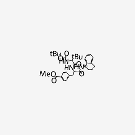 COC(=O)c1ccc(CC(NC(=O)C(NC(=O)OC(C)(C)C)C(C)(C)C)C(=O)N[C@@H]2CCCc3ccccc32)cc1